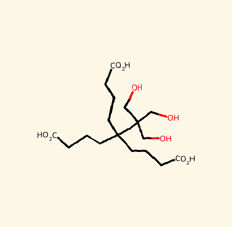 O=C(O)CCCC(CCCC(=O)O)(CCCC(=O)O)C(CO)(CO)CO